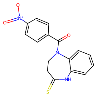 O=C(c1ccc([N+](=O)[O-])cc1)N1CCC(=S)Nc2ccccc21